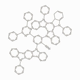 N#Cc1c(-n2c3ccccc3c3cc4c(cc32)c2ccccc2n4-c2ccccc2)cc(-c2nc(-c3ccccc3)cc(-c3ccccc3)n2)cc1-n1c2ccccc2c2c3c(c4c(c5ccccc5n4-c4ccccc4)c21)C1CC=CC=C1N3c1ccccc1